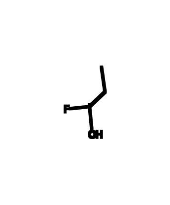 CC[C](O)F